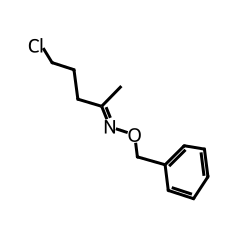 C/C(CCCCl)=N\OCc1ccccc1